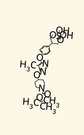 Cc1c(Oc2ccc(C3COS(O)(O)OC3)cc2)ncnc1OC1CCN(C(=O)OC(C)(C)C)CC1